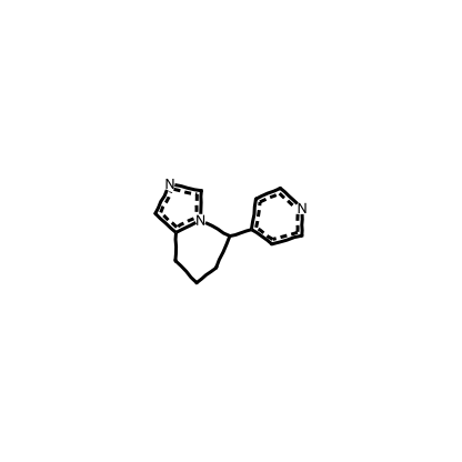 c1cc(C2CCCc3cncn32)ccn1